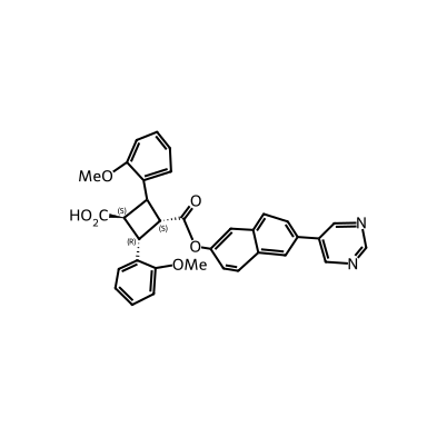 COc1ccccc1C1[C@H](C(=O)O)[C@@H](c2ccccc2OC)[C@H]1C(=O)Oc1ccc2cc(-c3cncnc3)ccc2c1